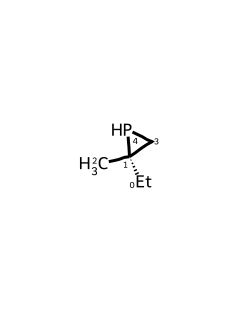 CC[C@@]1(C)CP1